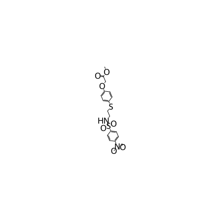 COC(=O)COc1ccc(SCCNS(=O)(=O)c2ccc([N+](=O)[O-])cc2)cc1